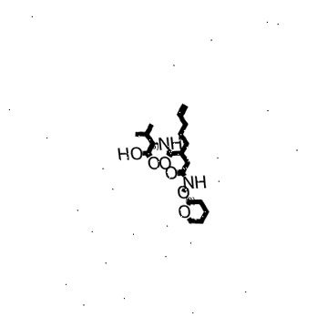 C=CCCCC(CC(=O)NO[C@@H]1CCCCO1)C(=O)N[C@H](C(=O)O)C(C)C